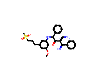 COc1cc(CCCS(C)(=O)=O)cc(NC(C(=O)/C(=C/N)C(=N)c2ccccc2)c2ccccc2)c1